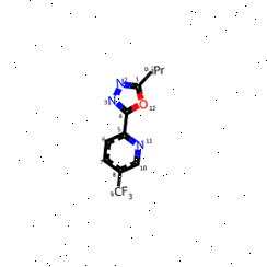 CC(C)c1nnc(-c2ccc(C(F)(F)F)cn2)o1